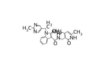 CSc1cc(C)[nH]c(=O)c1CNC(=O)c1c(C)n([C@@H](C)c2cnc(C)nc2)c2ccccc12